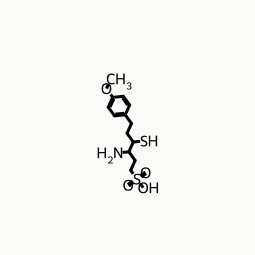 COc1ccc(CCC(S)C(N)CCS(=O)(=O)O)cc1